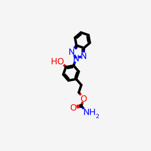 NC(=O)OCCc1ccc(O)c(-n2nc3ccccc3n2)c1